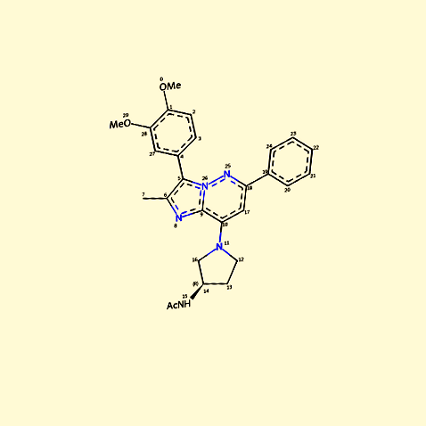 COc1ccc(-c2c(C)nc3c(N4CC[C@@H](NC(C)=O)C4)cc(-c4ccccc4)nn23)cc1OC